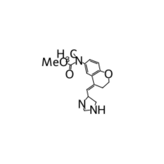 COC(=O)N(C)c1ccc2c(c1)/C(=C/C1CNC=N1)CCO2